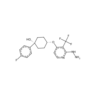 NNc1nccc(O[C@H]2CC[C@](O)(c3ccc(F)cc3)CC2)c1C(F)(F)F